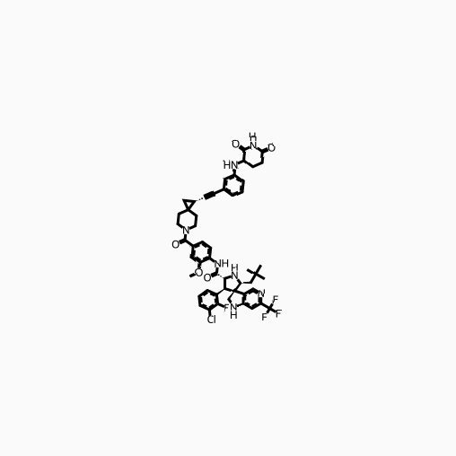 COc1cc(C(=O)N2CCC3(CC2)C[C@@H]3C#Cc2cccc(NC3CCC(=O)NC3=O)c2)ccc1NC(=O)[C@@H]1N[C@@H](CC(C)(C)C)[C@@]2(CNc3cc(C(F)(F)F)ncc32)[C@H]1c1cccc(Cl)c1F